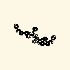 CC(Oc1ccc(-c2cccc(CC(=O)N3CCOCC3)c2)cc1)C(CCc1cccnc1)OC(=O)C(=O)OC(CCc1cccnc1)C(C)Oc1ccc(-c2cccc(CC(=O)N3CCOCC3)c2)cc1